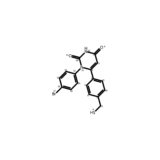 O=c1cc(-c2ccc(CS)cc2)n(-c2ccc(Br)cc2)c(=O)[nH]1